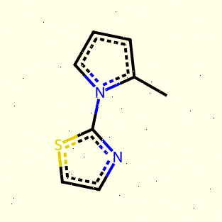 Cc1cccn1-c1nccs1